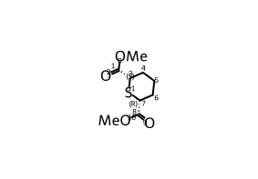 COC(=O)[C@@H]1CCC[C@H](C(=O)OC)S1